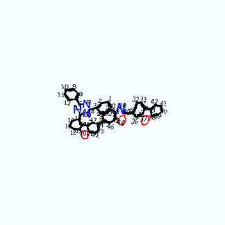 c1ccc(-c2nc(-c3ccccc3)nc(-c3cccc4oc5ccc(-c6ccc7nc(-c8ccc9c(c8)oc8ccccc89)oc7c6)cc5c34)n2)cc1